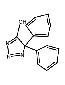 OC1=NN=NC1(c1ccccc1)c1ccccc1